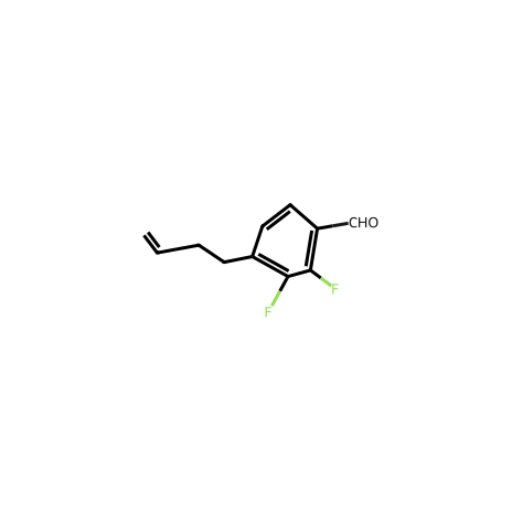 C=CCCc1ccc(C=O)c(F)c1F